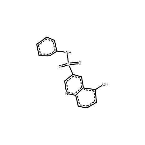 O=S(=O)(Nc1ccccc1)c1cnc2cccc(O)c2c1